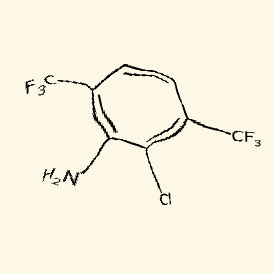 Nc1c(C(F)(F)F)ccc(C(F)(F)F)c1Cl